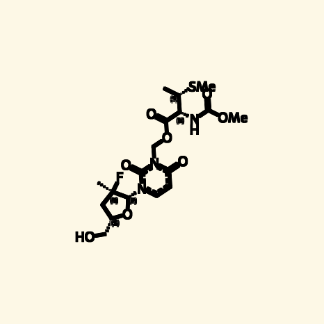 COC(=O)N[C@H](C(=O)OCn1c(=O)ccn([C@@H]2O[C@H](CO)C[C@@]2(C)F)c1=O)[C@H](C)SC